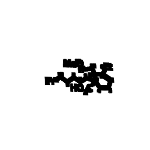 CCC1=CC=CC(CCCCCC(C)C)(C(=O)O)C1CCOC